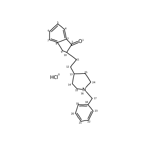 Cl.O=C1c2ccccc2CC1CCC1CCN(Cc2ccccc2)CC1